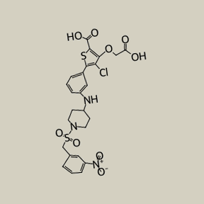 O=C(O)COc1c(C(=O)O)sc(-c2cccc(NC3CCN(S(=O)(=O)Cc4cccc([N+](=O)[O-])c4)CC3)c2)c1Cl